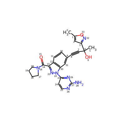 Cc1cc(C(C)(O)C#Cc2ccc3c(C(=O)N4CCCC4)nn(-c4ccnc(N)n4)c3c2)no1